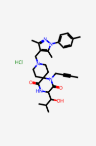 CC#CCN1C(=O)C(C(O)C(C)C)NC(=O)C12CCN(Cc1c(C)nn(-c3ccc(C)cc3)c1C)CC2.Cl